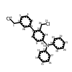 ClCc1cccc(-c2ccc(N(c3ccccc3)c3ccccc3)cc2CCl)c1